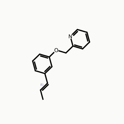 C/C=C/c1cccc(OCc2ccccn2)c1